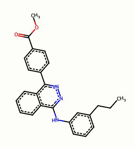 CCCc1cccc(Nc2nnc(-c3ccc(C(=O)OC)cc3)c3ccccc23)c1